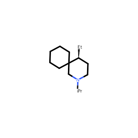 CC[C@H]1CCN(C(C)C)CC12CCCCC2